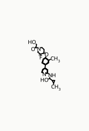 Cc1cc(-c2ccnc(NC(O)C3CC3C)c2)ccc1O[C@H]1CCN(C(=O)CO)C[C@H]1F